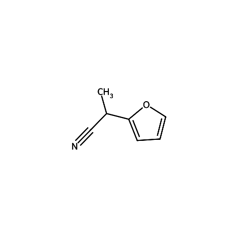 CC(C#N)c1ccco1